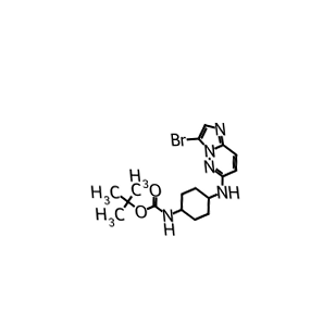 CC(C)(C)OC(=O)NC1CCC(Nc2ccc3ncc(Br)n3n2)CC1